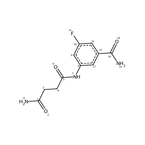 NC(=O)CCC(=O)Nc1cc(F)cc(C(N)=O)c1